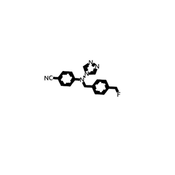 N#Cc1ccc(N(Cc2ccc(CF)cc2)n2cnnc2)cc1